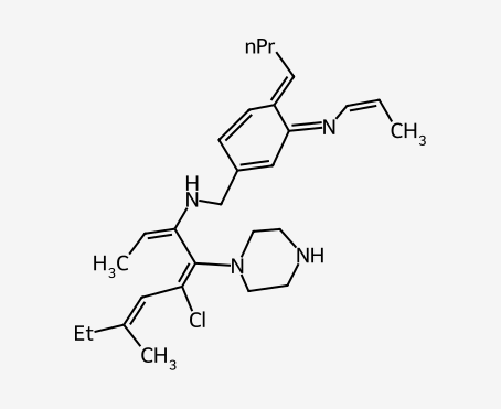 C\C=C/N=C1/C=C(CNC(=C/C)/C(=C(Cl)\C=C(/C)CC)N2CCNCC2)C=C/C1=C\CCC